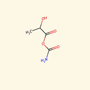 CC(O)C(=O)OC(N)=O